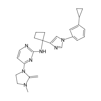 C=C1N(C)CCN1c1ccnc(NC2(c3cn(-c4cccc(C5CC5)c4)cn3)CCC2)n1